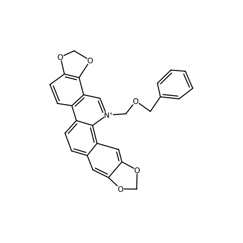 c1ccc(COC[n+]2cc3c4c(ccc3c3ccc5cc6c(cc5c32)OCO6)OCO4)cc1